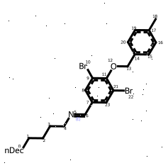 CCCCCCCCCCCCCC/N=C/c1cc(Br)c(OCc2ccc(C)cc2)c(Br)c1